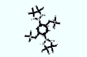 CC1(C)OB(c2cc(C[N+](C)(C)C)c(B3OC(C)(C)C(C)(C)O3)cc2C[N+](C)(C)C)OC1(C)C